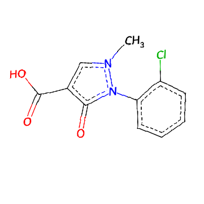 Cn1cc(C(=O)O)c(=O)n1-c1ccccc1Cl